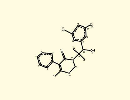 CC1=C(c2ccccc2)C(=O)N(C(C)(C)C(O)c2cc(Cl)cc(Cl)c2)CO1